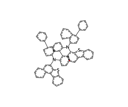 c1ccc(-c2ccc(N(c3ccccc3-c3ccccc3N(c3ccc(-c4ccccc4)c4ccccc34)c3cccc4c3sc3ccccc34)c3cc4ccccc4c4c3sc3ccccc34)cc2)cc1